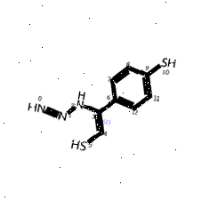 N=NN/C(=C\S)c1ccc(S)cc1